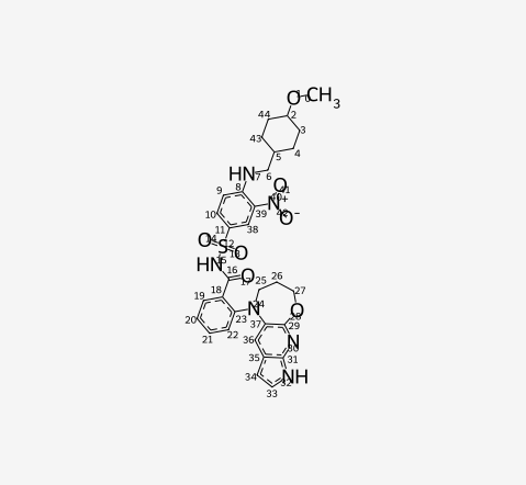 COC1CCC(CNc2ccc(S(=O)(=O)NC(=O)c3ccccc3N3CCCOc4nc5[nH]ccc5cc43)cc2[N+](=O)[O-])CC1